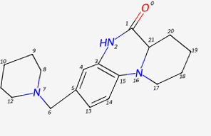 O=C1Nc2cc(CN3CCCCC3)ccc2N2CCCCC12